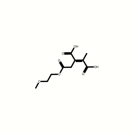 COCCOC(=O)CC(C(=O)O)=C(C)C(=O)O